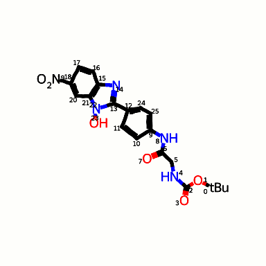 CC(C)(C)OC(=O)NCC(=O)Nc1ccc(-c2nc3ccc([N+](=O)[O-])cc3n2O)cc1